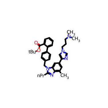 CCCc1nc2c(C)cc(-c3cn(CCCN(C)C)cn3)cc2n1Cc1ccc(-c2ccccc2C(=O)OC(C)(C)C)cc1